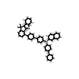 CC1(C)c2cccc(-c3ccc(-c4ccc(N(c5ccc(-c6ccccc6)cc5)c5ccc6ccccc6c5)cc4)cc3)c2-c2sc3ccccc3c21